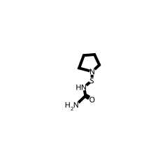 NC(=O)NSN1CCCC1